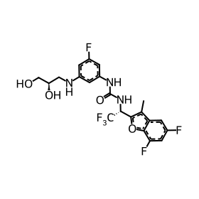 Cc1c([C@@H](NC(=O)Nc2cc(F)cc(NC[C@@H](O)CO)c2)C(F)(F)F)oc2c(F)cc(F)cc12